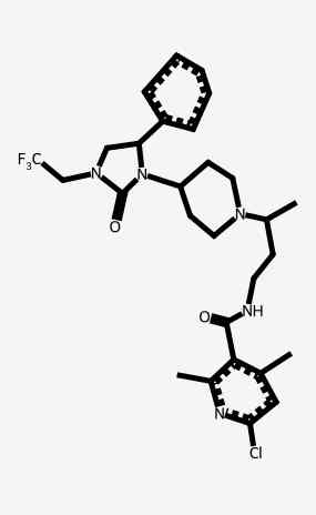 Cc1cc(Cl)nc(C)c1C(=O)NCCC(C)N1CCC(N2C(=O)N(CC(F)(F)F)CC2c2ccccc2)CC1